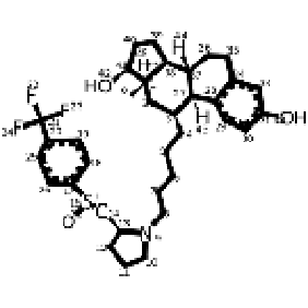 C[C@]12C[C@H](CCCCCN3CCC[C@H]3C[S+]([O-])c3ccc(C(F)(F)F)cc3)[C@@H]3c4ccc(O)cc4CC[C@H]3[C@@H]1CC[C@@H]2O